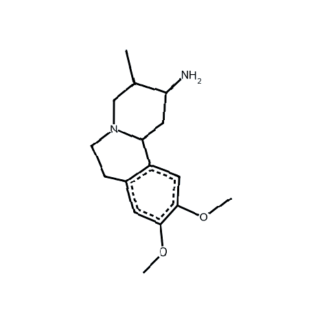 COc1cc2c(cc1OC)C1CC(N)C(C)CN1CC2